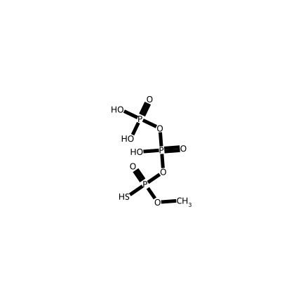 COP(=O)(S)OP(=O)(O)OP(=O)(O)O